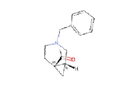 CC(=O)[C@@]12CCN(Cc3ccccc3)C[C@@H]1C2